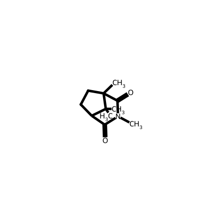 CN1C(=O)C2CCC(C)(C1=O)C2(C)C